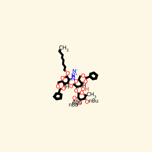 C=CCCCCCCO[C@@H]1OC2COC(c3ccccc3)O[C@H]2C(O[C@@H]2OC3COC(c4ccccc4)O[C@@H]3C(O)[C@@H]2O[C@@H]2OC(C)[C@@H](OCCCC)C(OCCCC)[C@@H]2OCCCC)[C@@H]1N=[N+]=[N-]